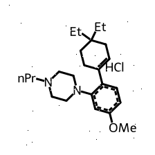 CCCN1CCN(c2cc(OC)ccc2C2=CCC(CC)(CC)CC2)CC1.Cl